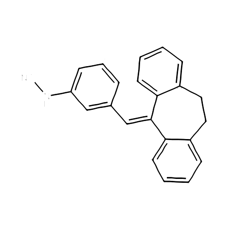 N#CNc1cccc(C=C2c3ccccc3CCc3ccccc32)c1